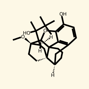 CO[C@]12CC[C@@]3(C[C@@H]1C(C)(O)C(C)(C)C)[C@@H]1CCCC34c3c(ccc(O)c3O[C@H]42)C1